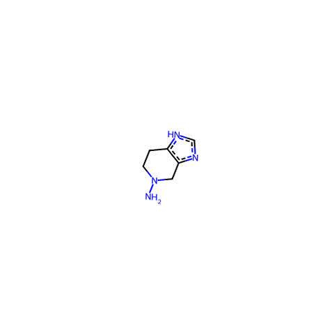 NN1CCc2[nH]cnc2C1